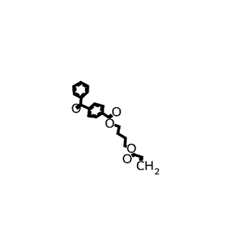 C=CC(=O)OCCCCOC(=O)c1ccc(C(=O)c2ccccc2)cc1